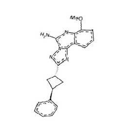 COc1cccc2c1nc(N)n1nc([C@H]3C[C@H](c4ccccc4)C3)nc21